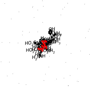 CC(C)C[C@H](NC(=O)[C@H](CCC(=O)O)NC(=O)[C@H](CC(=O)O)NC(=O)[C@H](CCCNC(=N)N)NC(=O)[C@H](CO)NC(=O)[C@@H]1CCCN1C(=O)[C@@H]1CCCN1C(=O)[C@H](CC(C)C)NC(=O)[C@@H](NC(=O)[C@H](Cc1ccc(O)cc1)NC(=O)[C@@H](N)C(C)C)[C@@H](C)O)C(=O)N[C@H](C(=O)N[C@@H](CCCCN)C(=O)N[C@@H](CC(N)=O)C(=O)O)[C@@H](C)O